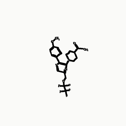 COc1ccc(-c2ncc(COC(F)(F)C(F)(F)F)nc2N2CCC(C(=O)O)CC2)cc1